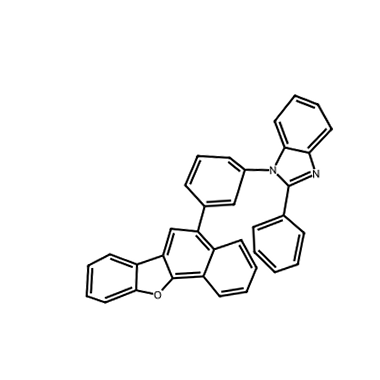 c1ccc(-c2nc3ccccc3n2-c2cccc(-c3cc4c5ccccc5oc4c4ccccc34)c2)cc1